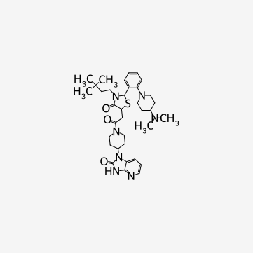 CN(C)C1CCN(c2ccccc2C2SC(CC(=O)N3CCC(n4c(=O)[nH]c5ncccc54)CC3)C(=O)N2CCC(C)(C)C)CC1